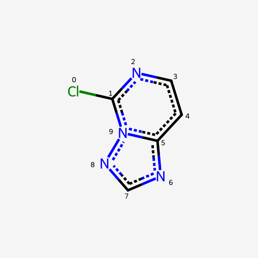 Clc1nccc2ncnn12